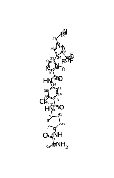 C[C@H](N)C(=O)N[C@H]1CC[C@@H](NC(=O)c2ccc(NC(=O)c3ncc(-c4cn(CC#N)nc4C(F)(F)F)n3C)cc2Cl)CC1